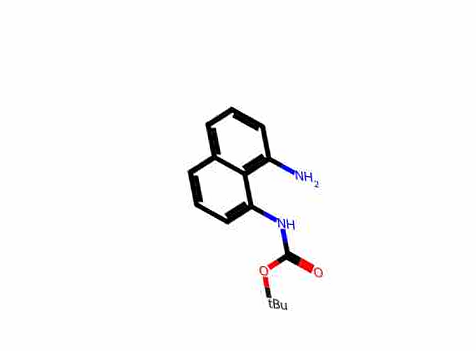 CC(C)(C)OC(=O)Nc1cccc2cccc(N)c12